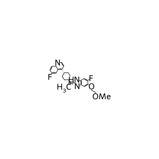 COCCOc1cc2nc([C@H](C)[C@H]3CC[C@@H](c4ccnc5ccc(F)cc54)CC3)[nH]c2cc1F